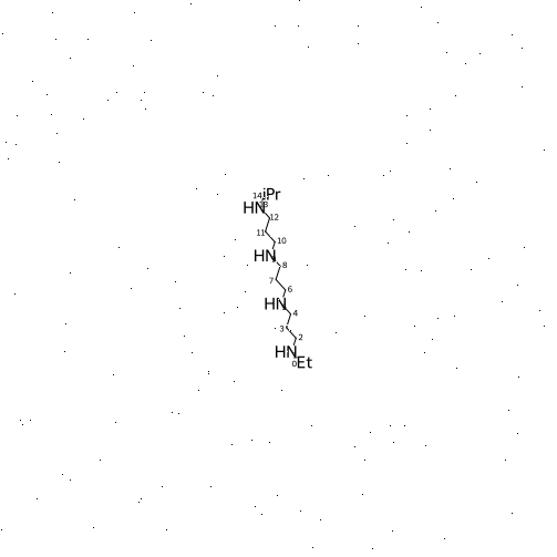 CCNCCCNCCCNCCCNC(C)C